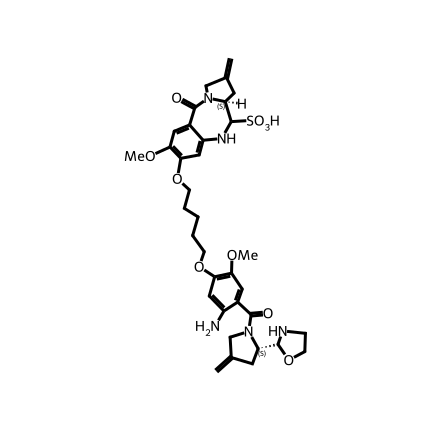 C=C1C[C@@H](C2NCCO2)N(C(=O)c2cc(OC)c(OCCCCCOc3cc4c(cc3OC)C(=O)N3CC(=C)C[C@H]3C(S(=O)(=O)O)N4)cc2N)C1